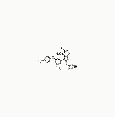 Cc1cc(Oc2ccc(C(F)(F)F)cc2)cc(-c2c3c(ccc(=O)n3C)nn2Cc2c[nH]cn2)c1